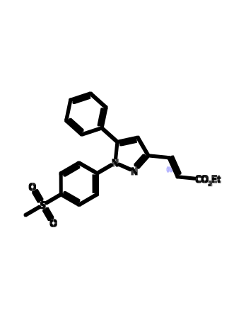 CCOC(=O)/C=C/c1cc(-c2ccccc2)n(-c2ccc(S(C)(=O)=O)cc2)n1